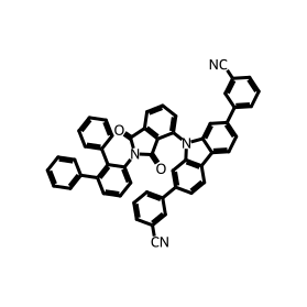 N#Cc1cccc(-c2ccc3c4ccc(-c5cccc(C#N)c5)cc4n(-c4cccc5c4C(=O)N(c4cccc(-c6ccccc6)c4-c4ccccc4)C5=O)c3c2)c1